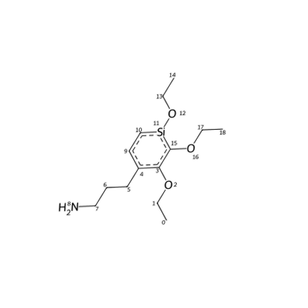 CCOc1c(CCCN)cc[si](OCC)c1OCC